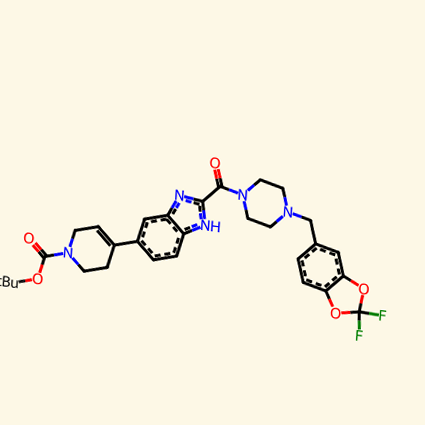 CC(C)(C)OC(=O)N1CC=C(c2ccc3[nH]c(C(=O)N4CCN(Cc5ccc6c(c5)OC(F)(F)O6)CC4)nc3c2)CC1